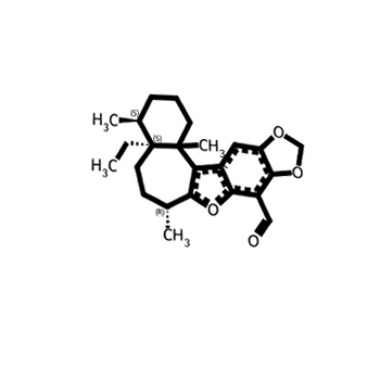 CC[C@@]12CC[C@@H](C)c3oc4c(C=O)c5c(cc4c3C1(C)CCC[C@@H]2C)OCO5